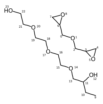 C(OCC1CO1)C1CO1.CCC(O)COCCOCCOCCO